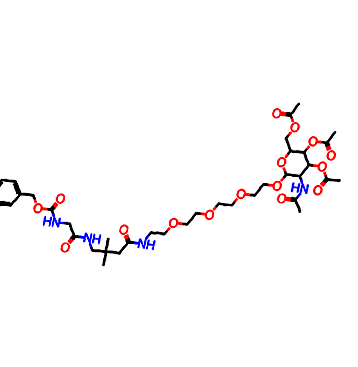 CC(=O)NC1C(OCCOCCOCCOCCNC(=O)CC(C)(C)CNC(=O)CNC(=O)OCc2ccccc2)OC(COC(C)=O)C(OC(C)=O)C1OC(C)=O